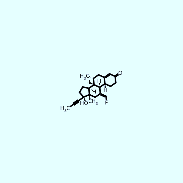 CC#C[C@]1(O)CC[C@H]2[C@H]3[C@H](/C(=C/F)C[C@@]21C)[C@H]1CCC(=O)C=C1C[C@H]3C